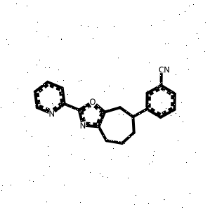 N#Cc1cccc(C2CCCc3nc(-c4ccccn4)oc3C2)c1